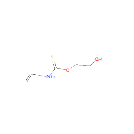 C=CNC(=S)OCCO